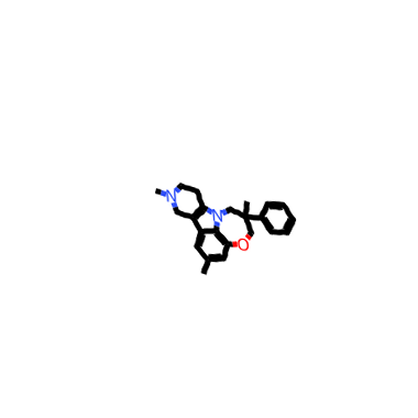 Cc1cc2c3c(c1)c1c(n3CC(C)(c3ccccc3)CO2)CCN(C)C1